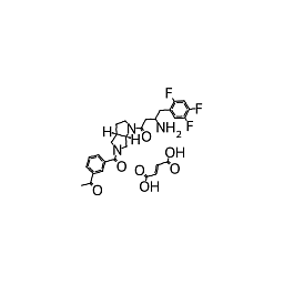 CC(=O)c1cccc(C(=O)N2C[C@@H]3CCN(C(=O)CC(N)Cc4cc(F)c(F)cc4F)[C@@H]3C2)c1.O=C(O)C=CC(=O)O